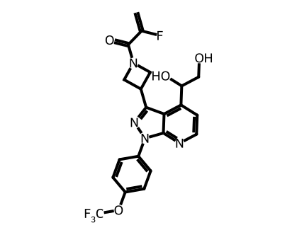 C=C(F)C(=O)N1CC(c2nn(-c3ccc(OC(F)(F)F)cc3)c3nccc(C(O)CO)c23)C1